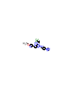 CCOc1ccc(-c2ccc3nc(NCc4ccc(-n5cncn5)cc4)nc(NC4(C(F)(F)F)CC4)c3n2)cn1